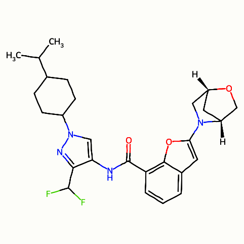 CC(C)C1CCC(n2cc(NC(=O)c3cccc4cc(N5C[C@H]6C[C@@H]5CO6)oc34)c(C(F)F)n2)CC1